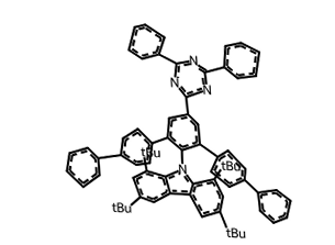 CC(C)(C)c1cc(C(C)(C)C)c2c(c1)c1cc(C(C)(C)C)cc(C(C)(C)C)c1n2-c1c(-c2ccc(-c3ccccc3)cc2)cc(-c2nc(-c3ccccc3)nc(-c3ccccc3)n2)cc1-c1ccc(-c2ccccc2)cc1